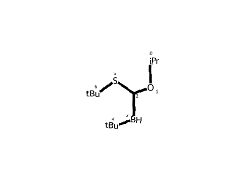 CC(C)OC(BC(C)(C)C)SC(C)(C)C